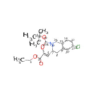 CCOC(=O)C=CC1Cc2cc(Cl)ccc2CN1C(=O)OC(C)(C)C